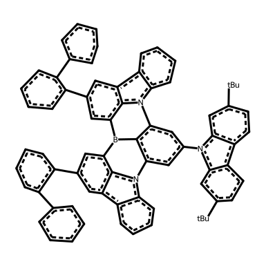 CC(C)(C)c1ccc2c3ccc(C(C)(C)C)cc3n(-c3cc4c5c(c3)-n3c6ccccc6c6cc(-c7ccccc7-c7ccccc7)cc(c63)B5c3cc(-c5ccccc5-c5ccccc5)cc5c6ccccc6n-4c35)c2c1